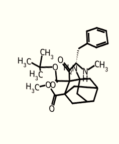 CN[C@@H](Cc1ccccc1)C(=O)C1(C(=O)OC(C)(C)C)C2(N)CC3CC(C2)CC1(C(=O)OC)C3